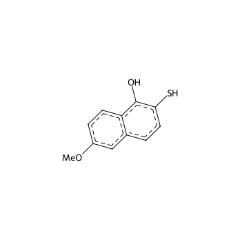 COc1ccc2c(O)c(S)ccc2c1